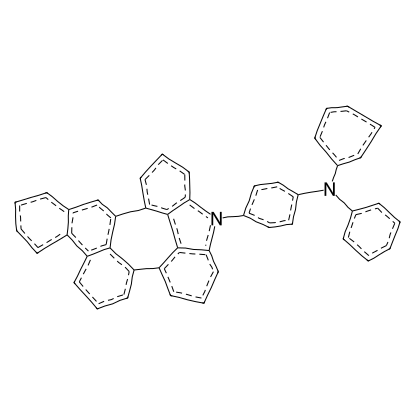 c1ccc(N(c2ccccc2)c2ccc(-n3c4cccc5c4c4c(cccc43)-c3cc4ccccc4c4cccc-5c34)cc2)cc1